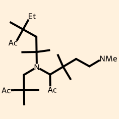 CCC(C)(CC(C)(C)N(CC(C)(C)C(C)=O)C(C(C)=O)C(C)(C)CCNC)C(C)=O